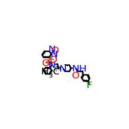 C[C@H](CN(c1ccccc1)S(=O)(=O)c1cccc2nonc12)N1CCC(NC(=O)Cc2ccc(F)cc2)CC1